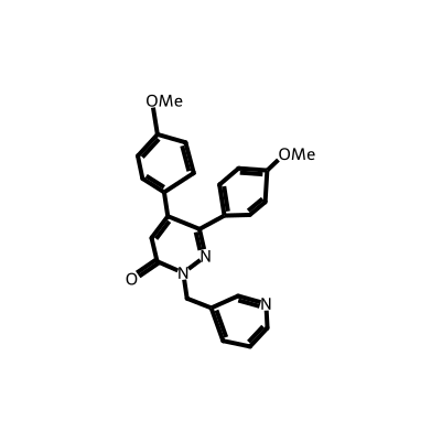 COc1ccc(-c2cc(=O)n(Cc3cccnc3)nc2-c2ccc(OC)cc2)cc1